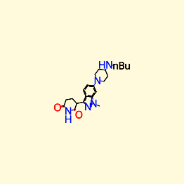 CCCCNC1CCN(c2ccc3c(C4CCC(=O)NC4=O)nn(C)c3c2)CC1